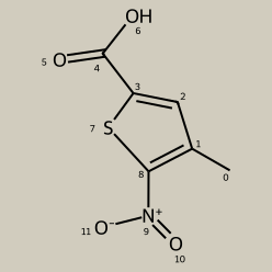 Cc1cc(C(=O)O)sc1[N+](=O)[O-]